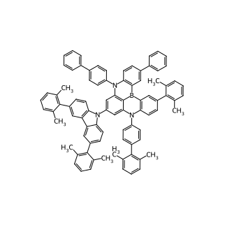 Cc1cccc(C)c1-c1ccc(N2c3ccc(-c4c(C)cccc4C)cc3B3c4cc(-c5ccccc5)ccc4N(c4ccc(-c5ccccc5)cc4)c4cc(-n5c6ccc(-c7c(C)cccc7C)cc6c6cc(-c7c(C)cccc7C)ccc65)cc2c43)cc1